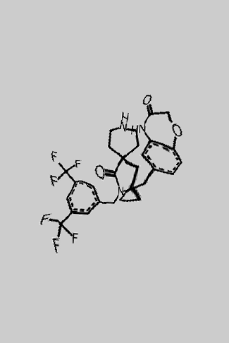 O=C1COc2ccc(CN(Cc3cc(C(F)(F)F)cc(C(F)(F)F)c3)C(=O)C3(CC4CC4)CCNCC3)cc2N1